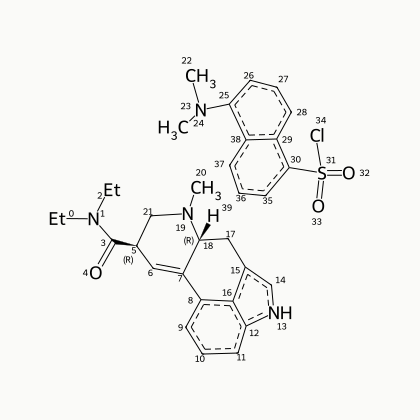 CCN(CC)C(=O)[C@@H]1C=C2c3cccc4[nH]cc(c34)C[C@H]2N(C)C1.CN(C)c1cccc2c(S(=O)(=O)Cl)cccc12